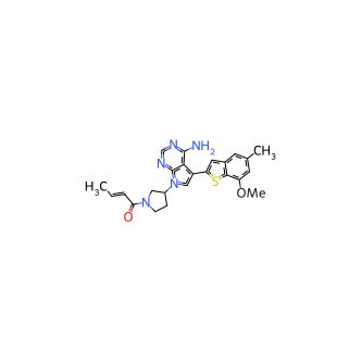 C/C=C/C(=O)N1CCC(n2cc(-c3cc4cc(C)cc(OC)c4s3)c3c(N)ncnc32)C1